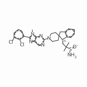 Cn1c(-c2cccc(Cl)c2Cl)nc2cnc(N3CCC4(CC3)Cc3ccccc3[C@H]4CC(C)(C)[S+](N)[O-])nc21